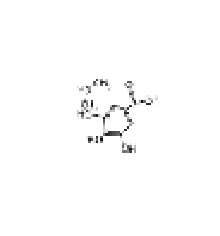 CNC.O=C(O)c1cc(O)c(O)c(O)c1